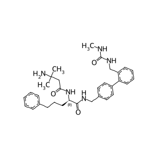 CNC(=O)NCc1ccccc1-c1ccc(CNC(=O)[C@@H](CCCc2ccccc2)NC(=O)CC(C)(C)N)cc1